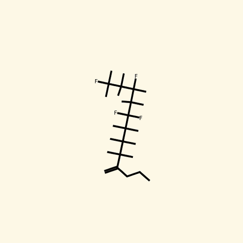 C=C(CCC)C(C)(C)C(C)(C)C(C)(C)C(F)(F)C(C)(C)C(C)(F)C(C)(C)C(C)(C)F